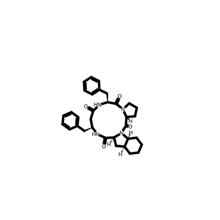 O=C1C[C@H](Cc2ccccc2)NC(=O)[C@@H]2C[C@@H]3CCCC[C@@H]3N2C(=O)[C@@H]2CCCN2C(=O)[C@H](Cc2ccccc2)N1